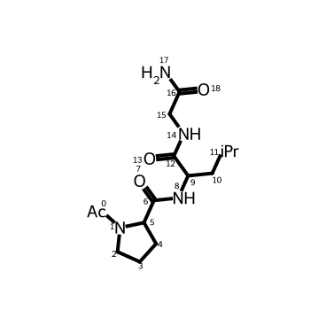 CC(=O)N1CCCC1C(=O)NC(CC(C)C)C(=O)NCC(N)=O